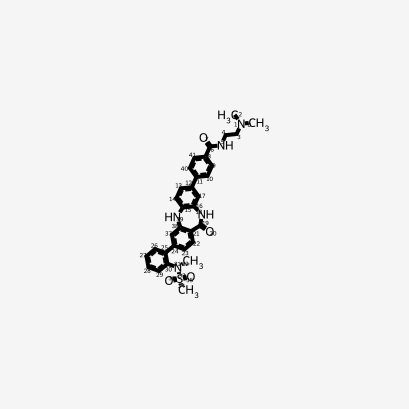 CN(C)CCNC(=O)c1ccc(-c2ccc3c(c2)NC(=O)c2ccc(-c4ccccc4N(C)S(C)(=O)=O)cc2N3)cc1